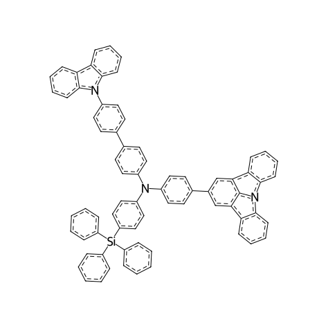 c1ccc([Si](c2ccccc2)(c2ccccc2)c2ccc(N(c3ccc(-c4ccc(-n5c6ccccc6c6ccccc65)cc4)cc3)c3ccc(-c4cc5c6ccccc6n6c7ccccc7c(c4)c56)cc3)cc2)cc1